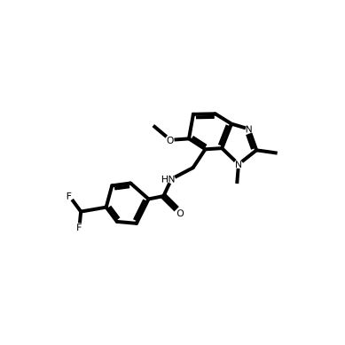 COc1ccc2nc(C)n(C)c2c1CNC(=O)c1ccc(C(F)F)cc1